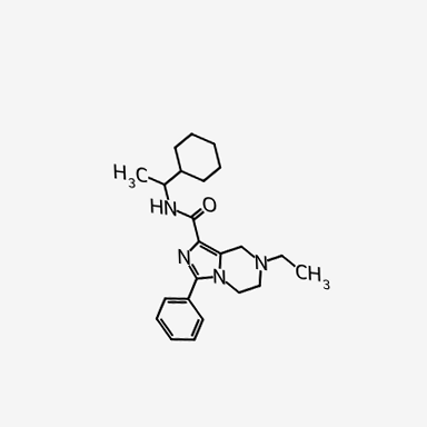 CCN1CCn2c(-c3ccccc3)nc(C(=O)NC(C)C3CCCCC3)c2C1